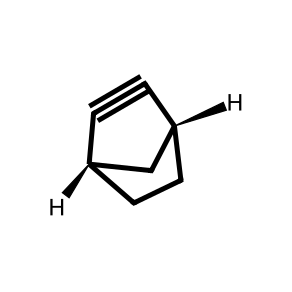 C1#C[C@H]2CC[C@@H]1C2